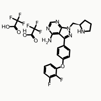 Nc1ncnc2c1c(-c1ccc(Oc3cccc(F)c3F)cc1)nn2C[C@H]1CCCN1.O=C(O)C(F)(F)F.O=C(O)C(F)(F)F